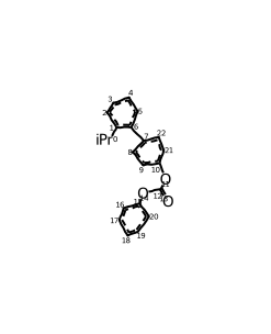 CC(C)c1ccccc1-c1ccc(OC(=O)Oc2ccccc2)cc1